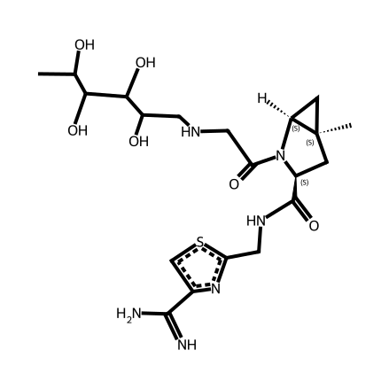 CC(O)C(O)C(O)C(O)CNCC(=O)N1[C@H]2C[C@@]2(C)C[C@H]1C(=O)NCc1nc(C(=N)N)cs1